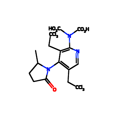 CC1CCC(=O)N1c1c(CC(Cl)(Cl)Cl)cnc(N(C(=O)O)C(=O)O)c1CC(Cl)(Cl)Cl